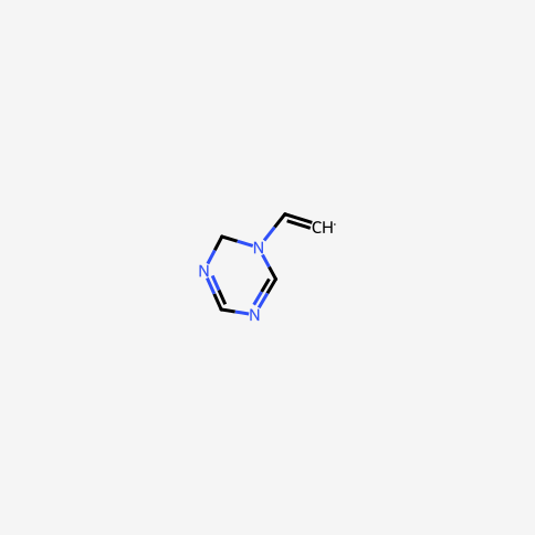 [CH]=CN1C=NC=NC1